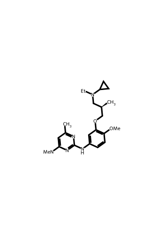 CCN(C[C@@H](C)COc1cc(Nc2nc(C)cc(NC)n2)ccc1OC)C1CC1